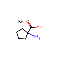 NC1(C(=O)O)CCCC1.[KH]